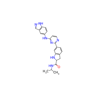 CC(C)NC(=O)C1Cc2ccc(-c3nccc(Nc4ccc5[nH]ncc5c4)n3)cc2N1